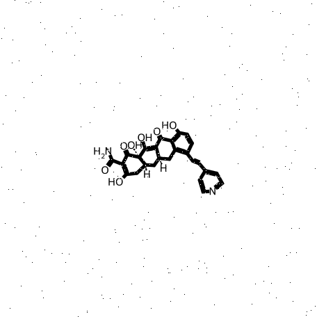 NC(=O)C1=C(O)C[C@@H]2C[C@@H]3Cc4c(/C=C/c5ccncc5)ccc(O)c4C(=O)C3=C(O)[C@]2(O)C1=O